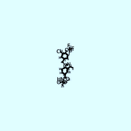 Cc1nn(Cc2ccc(OC(F)(F)F)c(Cl)c2)c2ccc(C(=O)NS(C)(=O)=O)cc12